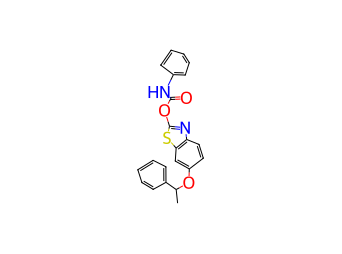 CC(Oc1ccc2nc(OC(=O)Nc3ccccc3)sc2c1)c1ccccc1